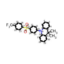 CC1(C)c2ccccc2N(c2ccc(S(=O)(=O)c3ccc(C(F)(F)F)cc3)cc2)c2ccccc21